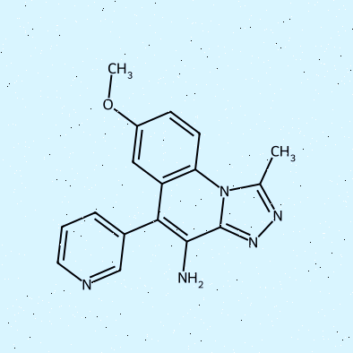 COc1ccc2c(c1)c(-c1cccnc1)c(N)c1nnc(C)n12